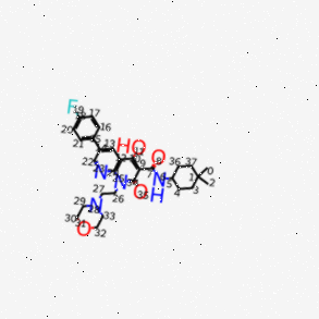 CC1(C)CCC(NC(=O)c2c(O)c3cc(-c4ccc(F)cc4)cnc3n(CCN3CCOCC3)c2=O)CC1